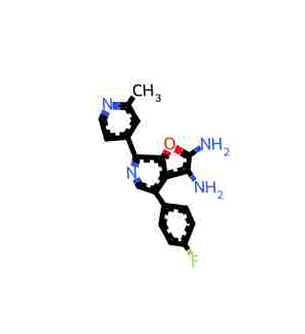 Cc1cc(-c2ncc(-c3ccc(F)cc3)c3c(N)c(N)oc23)ccn1